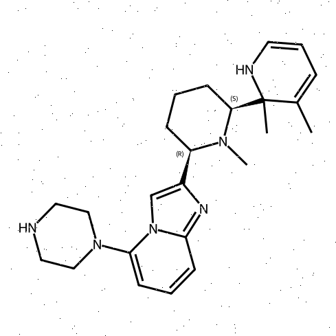 CC1=CC=CNC1(C)[C@@H]1CCC[C@H](c2cn3c(N4CCNCC4)cccc3n2)N1C